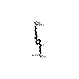 CCCCCCCCCCN(CCCCCCCCCC)CCCCCCC(=O)N1CCC(C(=O)CCCCN(CCCCCCCCCC)CCCCCCCCCC)CC1